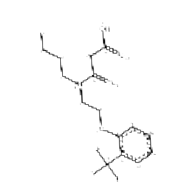 CCCCN(CCOc1ccccc1C(C)(C)C)C(=O)CC(=O)O